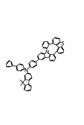 CC1(C)c2ccccc2-c2ccc(N(c3ccc(-c4ccccc4)cc3)c3ccc(-c4ccc5c(c4)c4cccc6c7cccc8sc9cccc(c%10ccccc%10n5c64)c9c87)cc3)cc21